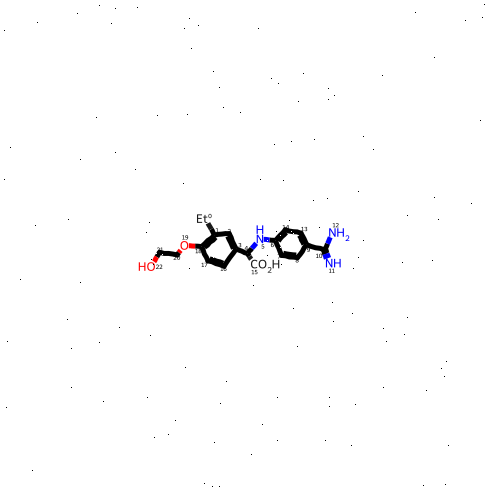 CCc1cc(C(Nc2ccc(C(=N)N)cc2)C(=O)O)ccc1OCCO